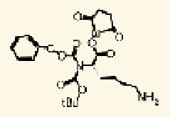 CC(C)(C)OC(=O)N(C(=O)OCc1ccccc1)[C@@H](CCCCN)C(=O)ON1C(=O)CCC1=O